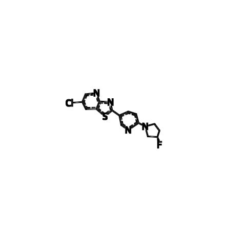 F[C@@H]1CCN(c2ccc(-c3nc4ncc(Cl)cc4s3)cn2)C1